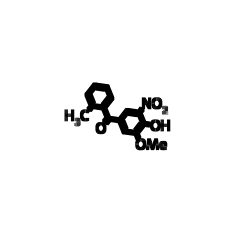 COc1cc(C(=O)c2ccccc2C)cc([N+](=O)[O-])c1O